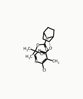 Cc1c(Cl)ncnc1O[C@@H]1CC2CCC1N2C(=O)OC(C)(C)C